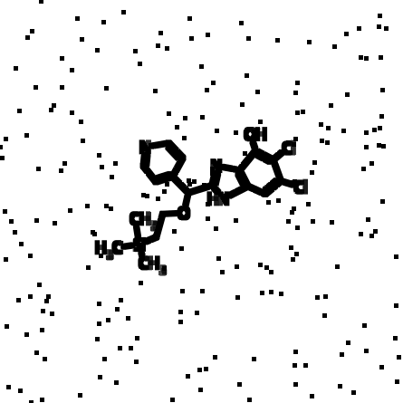 C[Si](C)(C)CCOC(c1ccncc1)c1nc2c(O)c(Cl)c(Cl)cc2[nH]1